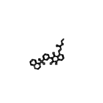 CCOC(=O)C=Cc1cccc2[nH]c(=O)n(-c3cccc(S(=O)(=O)N4CCCc5ccccc54)c3)c(=O)c12